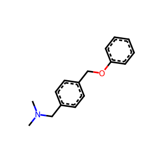 CN(C)Cc1ccc(COc2ccccc2)cc1